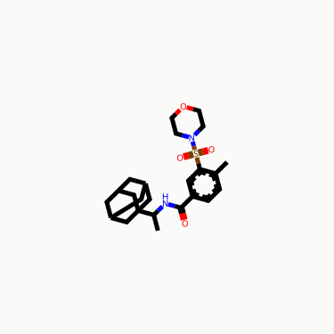 Cc1ccc(C(=O)NC(C)C23CC4CC(CC(C4)C2)C3)cc1S(=O)(=O)N1CCOCC1